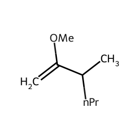 C=C(OC)C(C)CCC